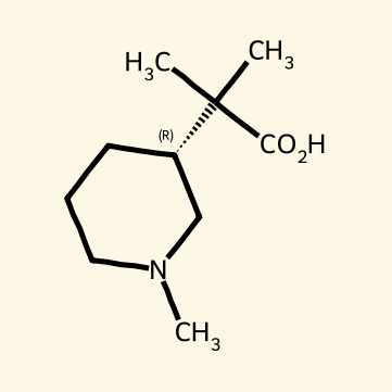 CN1CCC[C@H](C(C)(C)C(=O)O)C1